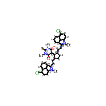 CCN1C(=O)C(=C2/C(=C/C=c3\c4cccc5c(Cl)ccc(c54)n3CC)CC/C2=C\C=c2/c3cccc4c(Cl)ccc(c43)n2CC)C(=O)N(CC)C1=S